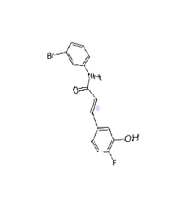 O=C(/C=C/c1ccc(F)c(O)c1)Nc1cccc(Br)c1